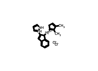 CC1=CC[C]([Hf+2][CH]2C([PH]3=CC=CN3)=Cc3ccccc32)=C1C.[Cl-].[Cl-]